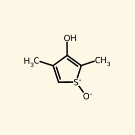 Cc1c[s+]([O-])c(C)c1O